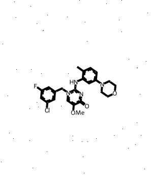 COc1cn(Cc2cc(F)cc(Cl)c2)c(Nc2cc(N3CCOCC3)ccc2C)nc1=O